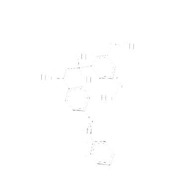 COc1cc(OC)cc(C(C)(C)C[C](C)c2ccc(N=Nc3ccccc3)cc2)c1